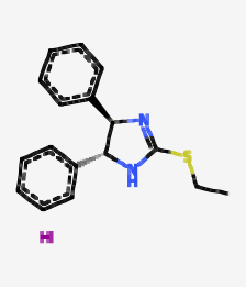 CCSC1=N[C@H](c2ccccc2)[C@@H](c2ccccc2)N1.I